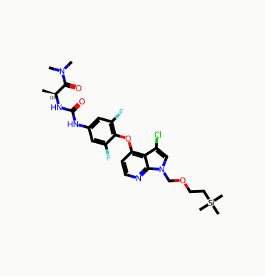 C[C@H](NC(=O)Nc1cc(F)c(Oc2ccnc3c2c(Cl)cn3COCC[Si](C)(C)C)c(F)c1)C(=O)N(C)C